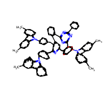 Cc1ccc2c(c1)c1ccccc1n2-c1ccc(-c2nc(-c3ccc(-n4c5ccc(C)cc5c5cc(C)ccc54)cc3)cc(-c3ccccc3-c3nc(-c4ccccc4)nc(-c4ccccc4)n3)c2-c2ccc(-n3c4ccc(C)cc4c4cc(C)ccc43)cc2)cc1